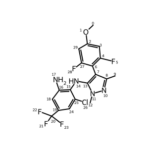 COc1cc(F)c(-c2c(C)nn(C)c2Nc2c(N)cc(C(F)(F)F)cc2Cl)c(F)c1